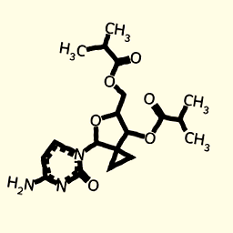 CC(C)C(=O)OCC1OC(n2ccc(N)nc2=O)C2(CC2)C1OC(=O)C(C)C